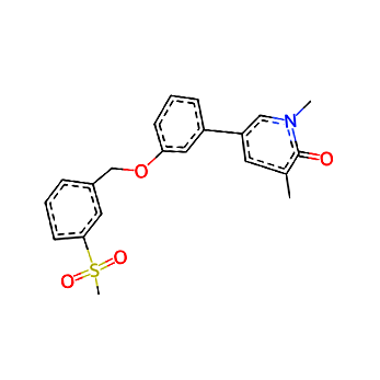 Cc1cc(-c2cccc(OCc3cccc(S(C)(=O)=O)c3)c2)cn(C)c1=O